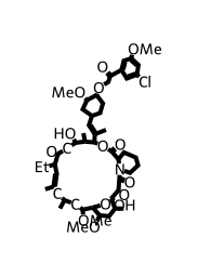 CCC1/C=C(\C)CC(C)CC(OC)C2OC(O)(C(=O)C(=O)N3CCCCC3C(=O)OC(C(C)=CC3CCC(OCC(=O)c4cc(Cl)cc(OC)c4)C(OC)C3)C(C)C(O)CC1=O)C(C)CC2OC